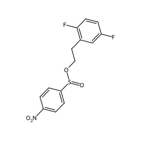 O=[N+]([O-])c1ccc(S(=O)OCCc2cc(F)ccc2F)cc1